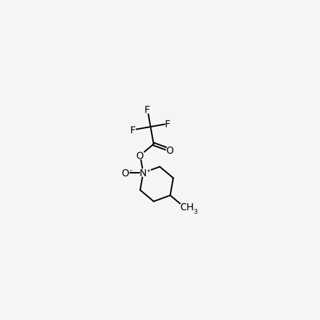 CC1CC[N+]([O-])(OC(=O)C(F)(F)F)CC1